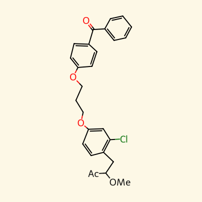 COC(Cc1ccc(OCCCOc2ccc(C(=O)c3ccccc3)cc2)cc1Cl)C(C)=O